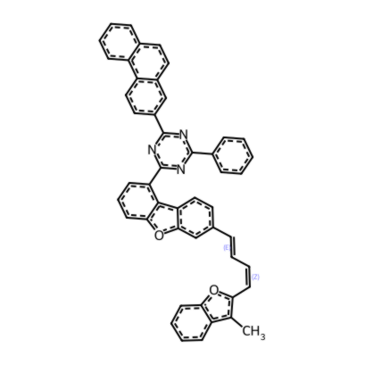 Cc1c(/C=C\C=C\c2ccc3c(c2)oc2cccc(-c4nc(-c5ccccc5)nc(-c5ccc6c(ccc7ccccc76)c5)n4)c23)oc2ccccc12